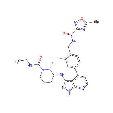 C[C@@H]1[C@H](Nc2n[nH]c3nccc(-c4ccc(CNC(=O)c5noc(C(C)(C)C)n5)c(F)c4)c23)CCCN1C(=O)NCC(F)(F)F